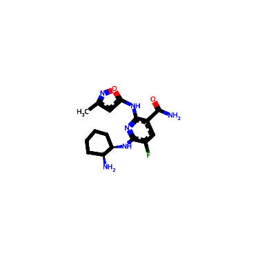 Cc1cc(Nc2nc(N[C@@H]3CCCC[C@@H]3N)c(F)cc2C(N)=O)on1